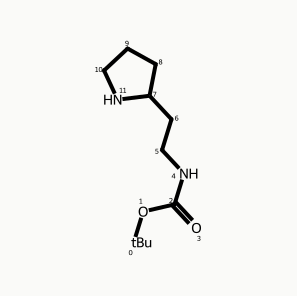 CC(C)(C)OC(=O)NCCC1CCCN1